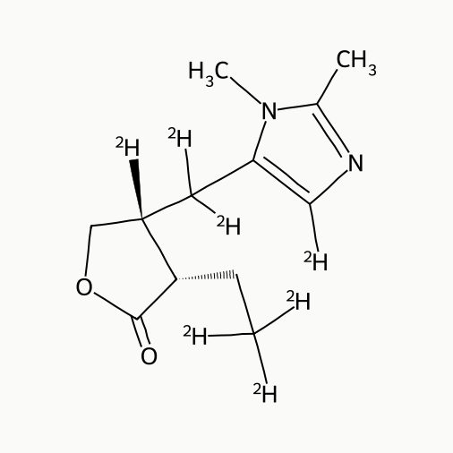 [2H]c1nc(C)n(C)c1C([2H])([2H])[C@@]1([2H])COC(=O)[C@H]1CC([2H])([2H])[2H]